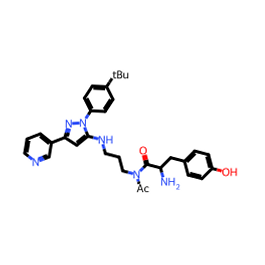 CC(=O)N(CCCNc1cc(-c2cccnc2)nn1-c1ccc(C(C)(C)C)cc1)C(=O)C(N)Cc1ccc(O)cc1